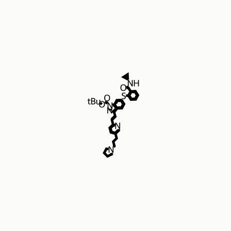 CC(C)(C)OC(=O)n1nc(/C=C/c2ccc(CCCN3CCCC3)cn2)c2ccc(Sc3ccccc3C(=O)NC3CC3)cc21